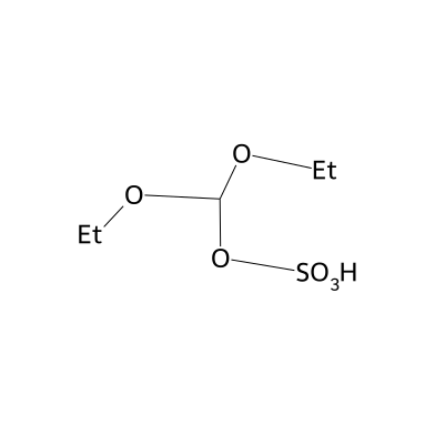 CCOC(OCC)OS(=O)(=O)O